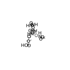 Cc1cc(C(=O)O)ccc1-c1ccc(C[C@H](NC(=O)[C@H]2CC[C@H](CNC(=O)OC(C)(C)C)CC2)C(=O)Nc2ccc3[nH]c(=O)[nH]c3c2)cc1